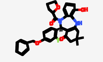 CC1(C)CC(=O)C2=C(C1)Nc1c(O)cccc1N(C(=O)C1CCCO1)[C@H]2c1ccc(OCc2ccccc2)cc1F